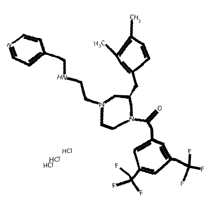 Cc1ccc(C[C@@H]2CN(CCNCc3ccncc3)CCN2C(=O)c2cc(C(F)(F)F)cc(C(F)(F)F)c2)cc1C.Cl.Cl.Cl